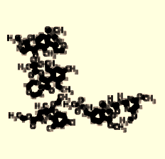 CCOC(=O)C1=NN(c2ccc(Cl)cc2Cl)C(C)(C(=O)OCC)C1.CCc1cc(C)cc(CC)c1-c1c(OC(=O)C(C)(C)C)n2n(c1=O)CCOCC2.COC(=O)c1ccc(CNS(C)(=O)=O)cc1S(=O)(=O)NC(=O)Nc1nc(OC)cc(OC)n1.Cc1c(C(=O)c2cnn(C)c2O)ccc(S(C)(=O)=O)c1C1=NOCC1